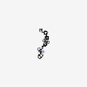 CN(C)Cc1cccc(-c2ccc(S(=O)(=O)n3ccc(/C=C/C(=O)NOC4CCCCO4)c3)s2)c1